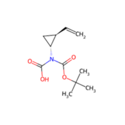 C=C[C@@H]1C[C@H]1N(C(=O)O)C(=O)OC(C)(C)C